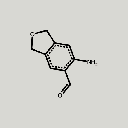 Nc1cc2c(cc1C=O)COC2